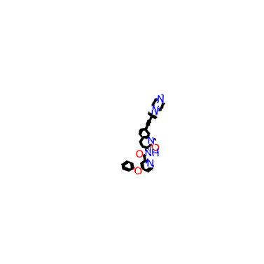 CN1CCN(C(C)(C)C#Cc2ccc3c(c2)N(C)C(=O)[C@@H](NC(=O)c2cc(Oc4ccccc4)ccn2)CC3)CC1